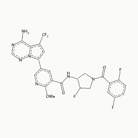 COc1ncc(-c2cc(C(F)(F)F)c3c(N)ncnn23)cc1C(=O)NC1CN(C(=O)c2cc(F)ccc2F)CC1F